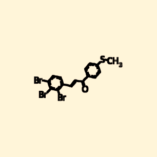 CSc1ccc(C(=O)C=Cc2ccc(Br)c(Br)c2Br)cc1